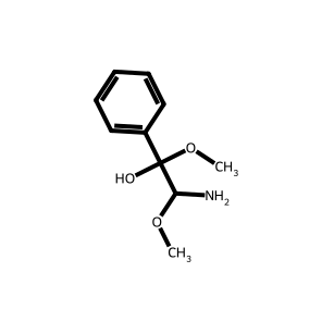 COC(N)C(O)(OC)c1ccccc1